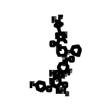 Cc1nc(C2CC(F)(F)C2)sc1C(=O)N1CC[C@@H](C(=O)N2CC[C@](O)(Cn3cnc(Oc4ccc(F)cc4)c(N)c3=O)C(F)(F)C2)[C@H](c2ccccc2)C1